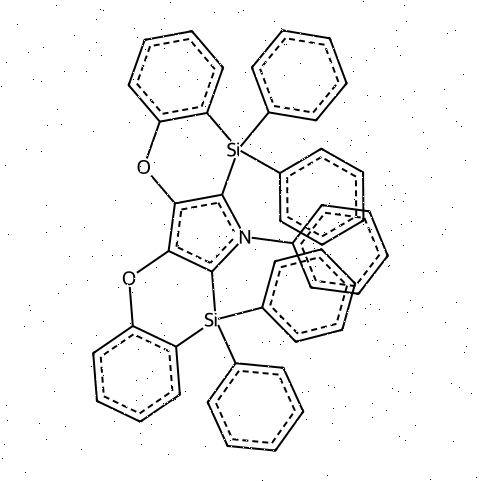 c1ccc(-n2c3c(c4c2[Si](c2ccccc2)(c2ccccc2)c2ccccc2O4)Oc2ccccc2[Si]3(c2ccccc2)c2ccccc2)cc1